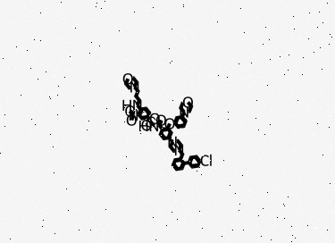 O=C(NS(=O)(=O)c1ccc(NCCCN2CCOCC2)c([N+](=O)[O-])c1)c1ccc(N2CCN(Cc3ccccc3-c3ccc(Cl)cc3)CC2)cc1Oc1cccc(N2CCOCC2)c1